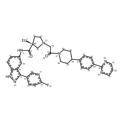 CC[C@@]1(C(=O)Nc2ccc3[nH]nc(-c4ccc(F)nc4)c3c2)CCN(CC(=O)N2CCC(c3ccc(-c4ncccn4)cc3)CC2)C1